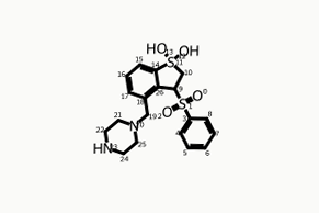 O=S(=O)(c1ccccc1)C1CS(O)(O)c2cccc(CN3CCNCC3)c21